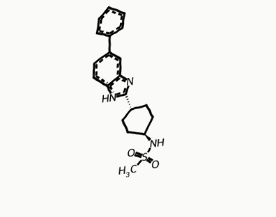 CS(=O)(=O)N[C@H]1CC[C@H](c2nc3cc(-c4ccccc4)ccc3[nH]2)CC1